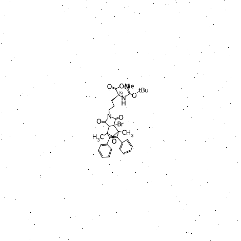 COC(=O)[C@H](CCCN1C(=O)C2C3(C)C(=O)C(C)(C(c4ccccc4)=C3c3ccccc3)C2(Br)C1=O)NC(=O)OC(C)(C)C